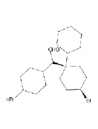 CCCC1CCC(C(C=O)[C@]2(C3CCCCC3)CC[C@H](CC)CC2)CC1